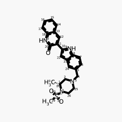 C[C@@H]1CN(Cc2ccc3[nH]c(-c4cc5ccccc5[nH]c4=O)cc3c2)CCN1S(C)(=O)=O